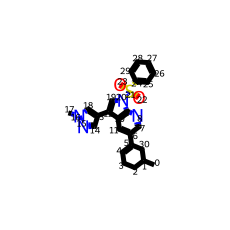 CC1CCC=C(c2cnc3c(c2)c(-c2cnn(C)c2)cn3S(=O)(=O)c2ccccc2)C1